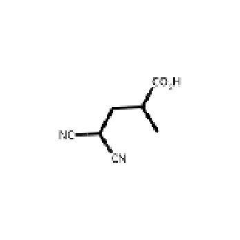 CC(CC(C#N)C#N)C(=O)O